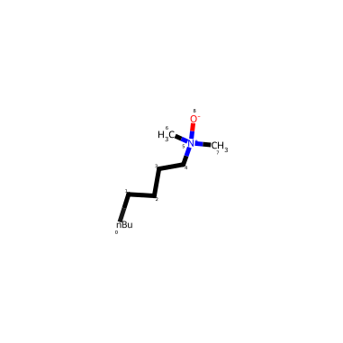 CCCCCCCC[N+](C)(C)[O-]